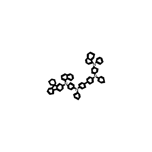 c1ccc(N(c2ccc(-c3ccc(N(c4ccccc4)c4ccc(N(c5ccc6c(c5)C5(CCCCC5)c5ccccc5-6)c5cccc6ccccc56)cc4)cc3)cc2)c2ccc(N(c3ccccc3)c3cccc4ccccc34)cc2)cc1